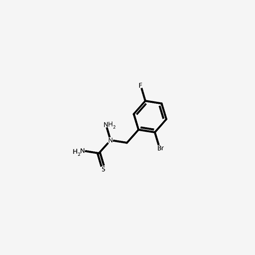 NC(=S)N(N)Cc1cc(F)ccc1Br